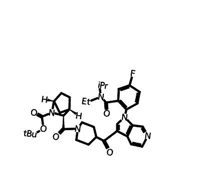 CCN(C(=O)c1cc(F)ccc1-n1cc(C(=O)C2CCN(C(=O)[C@@H]3[C@H]4CC[C@H](C4)N3C(=O)OC(C)(C)C)CC2)c2ccncc21)C(C)C